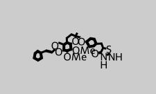 COc1c(OC(=O)C=Cc2ccccc2)c(C)c2c(c1OC)OC(C)(COc1ccc(CC3SC(=N)NC3=O)cc1)CC2